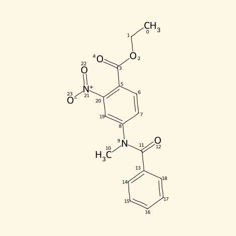 CCOC(=O)c1ccc(N(C)C(=O)c2ccccc2)cc1[N+](=O)[O-]